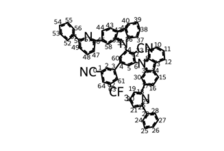 N#Cc1cc(-c2cc(-n3c4ccccc4c4ccc(-c5cccc(-c6ccccc6)n5)cc43)c(C#N)c(-n3c4ccccc4c4ccc(-c5cccc(-c6ccccc6)n5)cc43)c2)cc(C(F)(F)F)c1